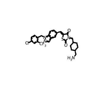 NCC1CCC(CN2C(=O)SC(=Cc3ccc4c(cnn4Cc4ccc(Cl)cc4C(F)(F)F)c3)C2=O)CC1